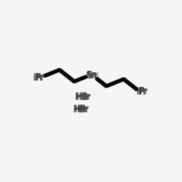 Br.Br.CC(C)C[CH2][Sn][CH2]CC(C)C